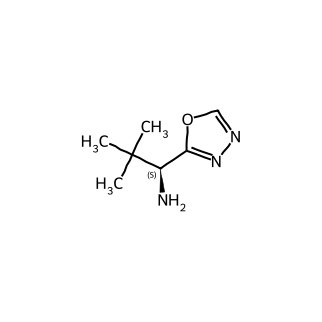 CC(C)(C)[C@H](N)c1nnco1